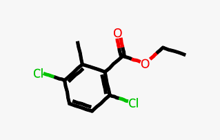 CCOC(=O)c1c(Cl)ccc(Cl)c1C